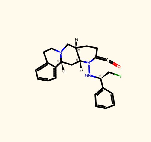 O=C=C1CC[C@H]2CN3CCc4ccccc4[C@H]3C[C@H]2N1N[C@@H](CF)c1ccccc1